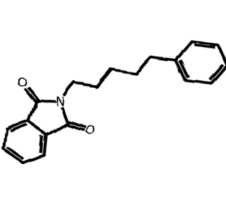 O=C1c2ccccc2C(=O)N1CCCCCc1ccccc1